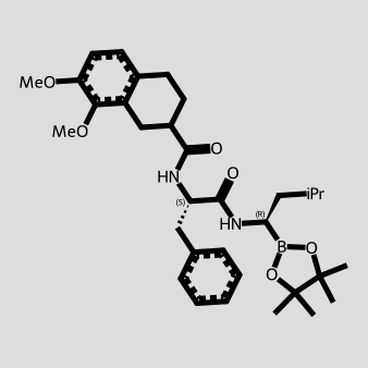 COc1ccc2c(c1OC)CC(C(=O)N[C@@H](Cc1ccccc1)C(=O)N[C@@H](CC(C)C)B1OC(C)(C)C(C)(C)O1)CC2